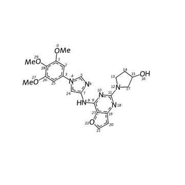 COc1cc(-n2cnc(Nc3nc(N4CCC(O)C4)nc4ccoc34)c2)cc(OC)c1OC